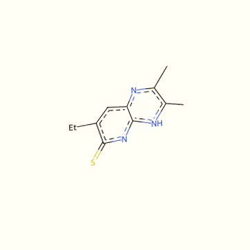 CCc1cc2nc(C)c(C)[nH]c-2nc1=S